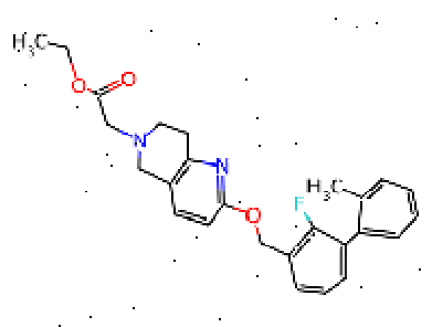 CCOC(=O)CN1CCc2nc(OCc3cccc(-c4ccccc4C)c3F)ccc2C1